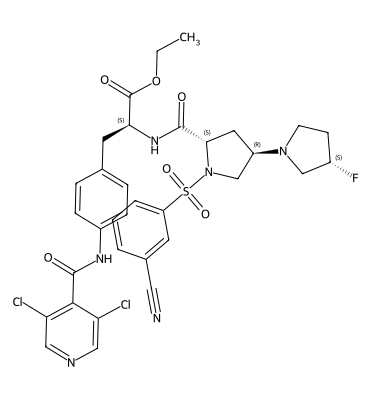 CCOC(=O)[C@H](Cc1ccc(NC(=O)c2c(Cl)cncc2Cl)cc1)NC(=O)[C@@H]1C[C@@H](N2CC[C@H](F)C2)CN1S(=O)(=O)c1cccc(C#N)c1